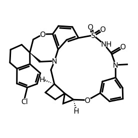 CN1C(=O)NS(=O)(=O)c2ccc3c(c2)N(C[C@@H]2CCC24C[C@@H]4Oc2cccc1c2)C[C@@]1(CCCc2cc(Cl)ccc21)CO3